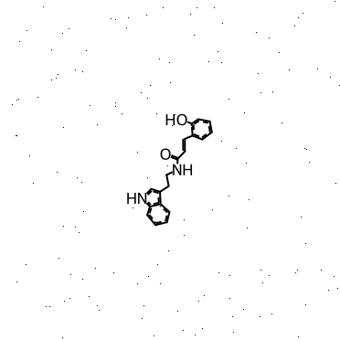 O=C(/C=C/c1ccccc1O)NCCc1c[nH]c2ccccc12